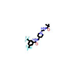 CC(C)(C)C(=O)NCCN1CCC(CNC(=O)c2cc(C(F)(F)F)cc(C(F)(F)F)c2)CC1